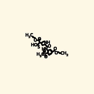 C=CCOC(=O)c1ccc(S(C)(=O)=O)c(NC(=O)C2CC(C(C(=O)OCC=C)C(O)=S)CN2)c1